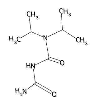 CC(C)N(C(=O)NC(N)=O)C(C)C